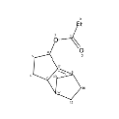 CCC(=O)OC1CCC2C1=C1CCC2C1